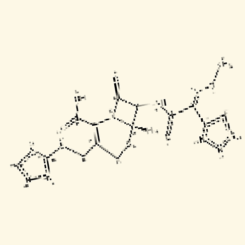 CON=C(C(=O)NC1C(=O)N2C(C(=O)O)=C(CSc3nncs3)CS[C@@H]12)c1csnn1